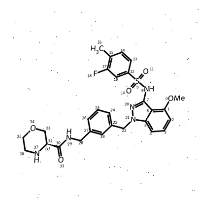 COc1cccc2c1c(NS(=O)(=O)c1ccc(C)c(F)c1)nn2Cc1cccc(CNC(=O)[C@@H]2COCCN2)c1